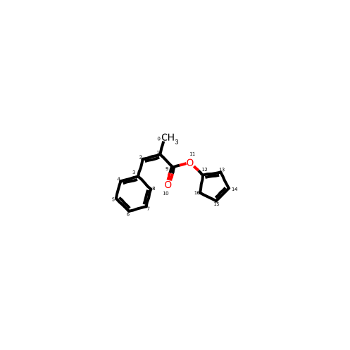 CC(=Cc1ccccc1)C(=O)OC1=CC=CC1